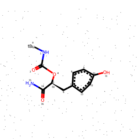 CC(C)(C)NC(=O)O[C@@H](Cc1ccc(O)cc1)C(N)=O